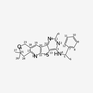 Cc1nc(NC(C)c2ccccc2)c2sc3nc4c(cc3c2n1)COC(C)(C)C4